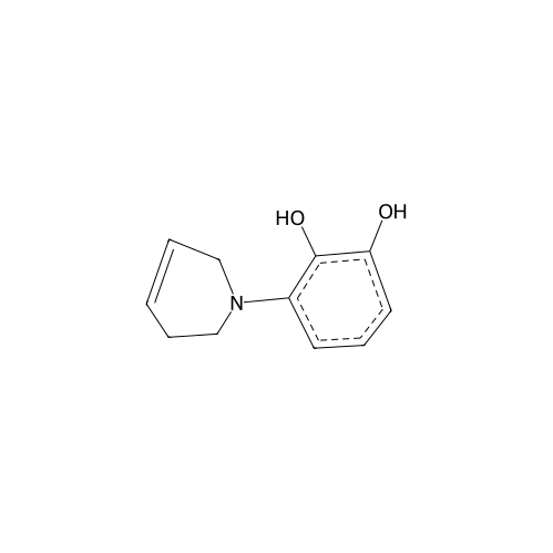 Oc1cccc(N2CC=CCC2)c1O